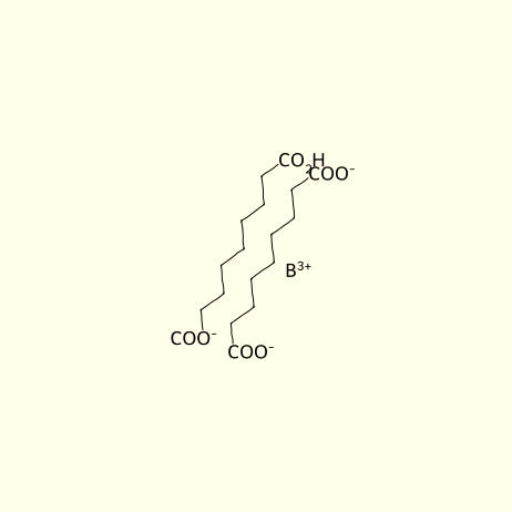 O=C([O-])CCCCCCCC(=O)O.O=C([O-])CCCCCCCC(=O)[O-].[B+3]